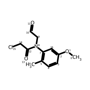 COc1ccc(C)c(N(CC=O)C(=O)CCl)c1